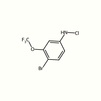 FC(F)(F)Oc1cc(NCl)ccc1Br